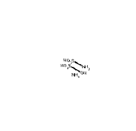 N.NS(=O)(=O)O.O=S(=O)(O)O